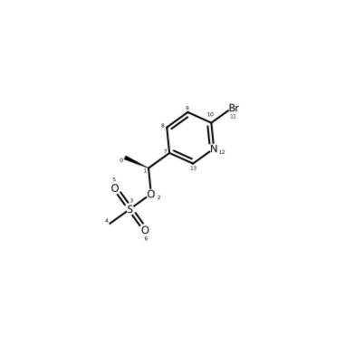 C[C@H](OS(C)(=O)=O)c1ccc(Br)nc1